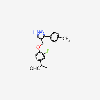 CC(C=O)c1ccc(OCc2c[nH]nc2-c2ccc(C(F)(F)F)cc2)c(F)c1